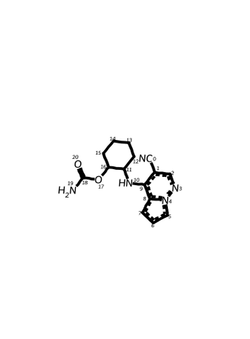 N#Cc1cnn2cccc2c1NC1CCCCC1OC(N)=O